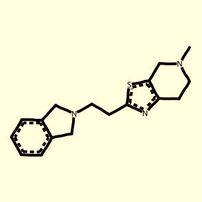 CN1CCc2nc(CCN3Cc4ccccc4C3)sc2C1